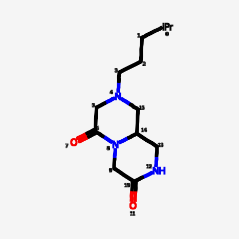 CC(C)CCCN1CC(=O)N2CC(=O)NCC2C1